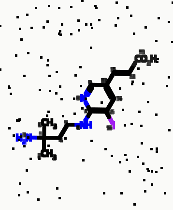 CC(C)(N)CCNc1ncc(/C=C/C(=O)O)cc1I